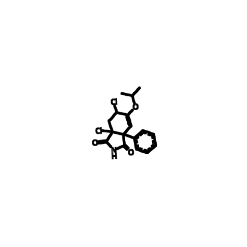 CC(C)OC1=CC2(c3ccccc3)C(=O)NC(=O)C2(Cl)CC1Cl